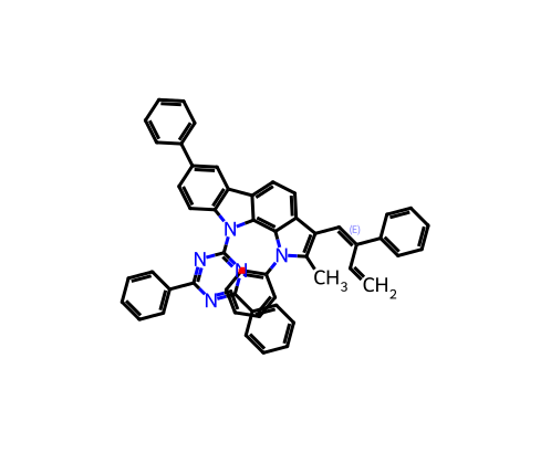 C=C/C(=C\c1c(C)n(-c2ccccc2)c2c1ccc1c3cc(-c4ccccc4)ccc3n(-c3nc(-c4ccccc4)nc(-c4ccccc4)n3)c12)c1ccccc1